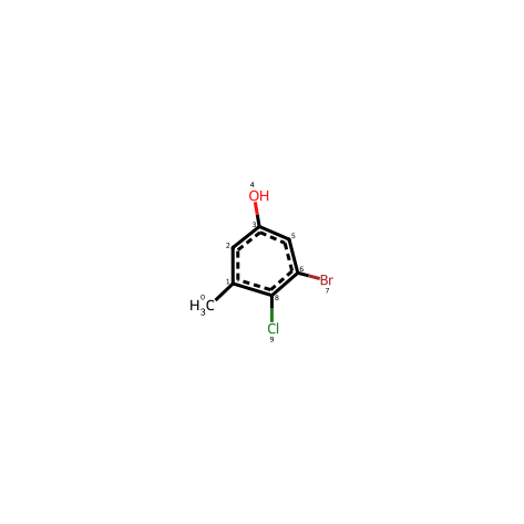 Cc1cc(O)cc(Br)c1Cl